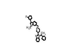 CC(c1ccccc1)n1c(C2CCN(Cc3ccc4c(-c5cccc(F)c5)cn(C)c4c3)CC2)nc2ccccc21